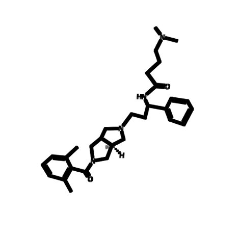 Cc1cccc(C)c1C(=O)N1CC2CN(CCC(NC(=O)CCCN(C)C)c3ccccc3)C[C@H]2C1